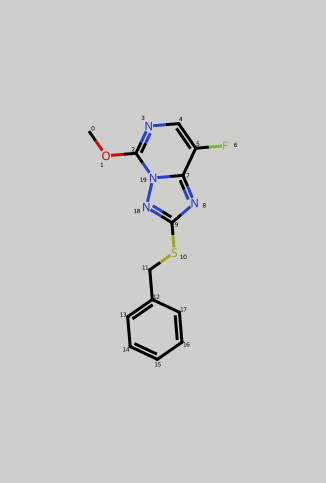 COc1ncc(F)c2nc(SCc3ccccc3)nn12